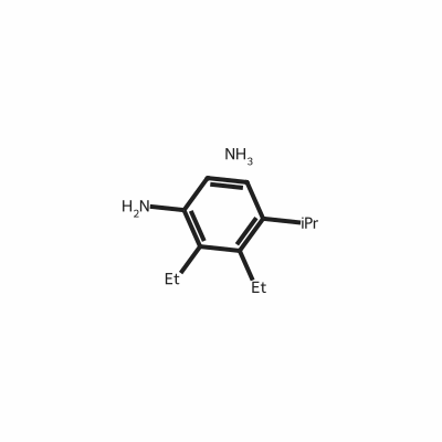 CCc1c(N)ccc(C(C)C)c1CC.N